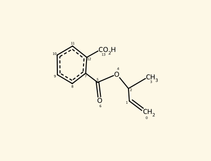 C=CC(C)OC(=O)c1ccccc1C(=O)O